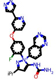 CC(C)C1=N[N+](c2ccc3ncncc3c2)(c2ccc(Oc3ccnc(-c4cn[nH]c4)c3)cc2F)C(NC(N)=O)=C1